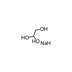 OCC(O)O.[NaH]